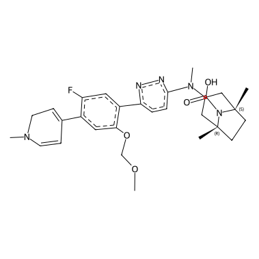 COCOc1cc(C2=CCN(C)C=C2)c(F)cc1-c1ccc(N(C)C2C[C@]3(C)CC[C@](C)(C2)N3C(=O)O)nn1